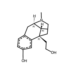 C[C@H]1[C@H]2Cc3ccc(O)cc3[C@@]1(CCO)CCN2C